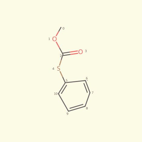 COC(=O)Sc1[c]cccc1